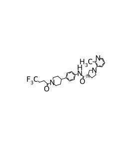 Cc1ncccc1N1CC[C@H](C(=O)Nc2ccc(C3CCN(C(=O)CCC(F)(F)F)CC3)cc2)C1